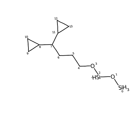 [SiH3]O[SiH]OCCCC(C1CC1)C1CC1